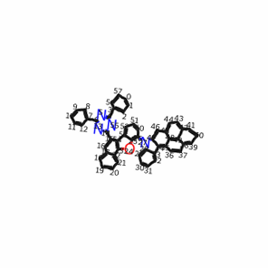 c1ccc(-c2nc(-c3ccccc3)nc(-c3cc4ccccc4c4oc5c(-n6c7ccccc7c7c8ccc9cccc%10ccc(cc76)c8c%109)cccc5c34)n2)cc1